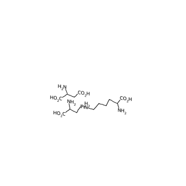 CC(C)CC(N)C(=O)O.NC(CC(=O)O)C(=O)O.NCCCCC(N)C(=O)O